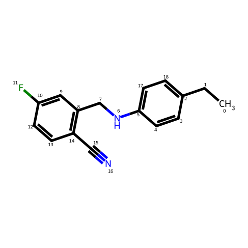 CCc1ccc(NCc2cc(F)ccc2C#N)cc1